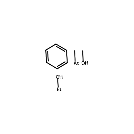 CC(C)=O.CCO.CO.c1ccccc1